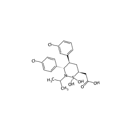 CC(C)N1[C@H](c2ccc(Cl)cc2)[C@@H](c2cccc(Cl)c2)C[C@@H](CC(=O)O)S1(O)O